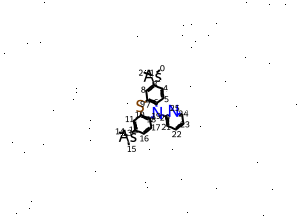 C[As](C)c1ccc2c(c1)Sc1cc([As](C)C)ccc1N2c1ccccn1